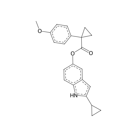 COc1ccc(C2(C(=O)Oc3ccc4[nH]c(C5CC5)cc4c3)CC2)cc1